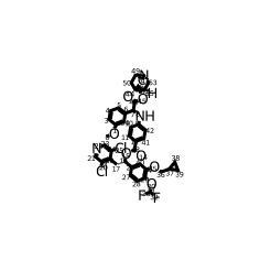 COc1cccc(C(Nc2ccc(C(=O)O[C@@H](Cc3c(Cl)cncc3Cl)c3ccc(OC(F)F)c(OCC4CC4)c3)cc2)C(=O)O[C@H]2CN3CCC2CC3)c1